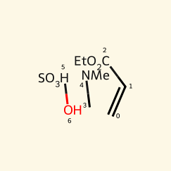 C=CC(=O)OCC.CNC.O=S(=O)(O)O